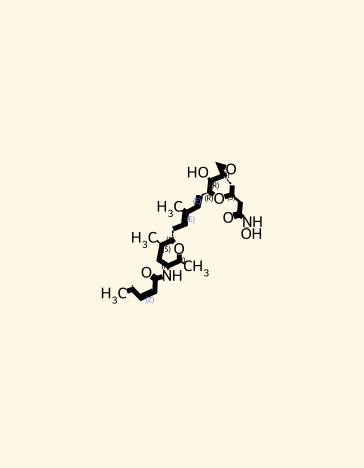 C[CH]/C=C\C(=O)N[C@@H]1C[C@H](C)[C@H](C/C=C(C)/C=C/[C@H]2O[C@H](CC(=O)NO)C[C@@]3(CO3)[C@@H]2O)O[C@@H]1C